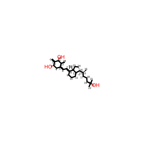 C=C1[C@H](O)C/C(=C/C=C2\CCC[C@]3(C)[C@@H]([C@@H](C)CCCC(C)(C)O)CC[C@@H]23)C(C)[C@H]1O